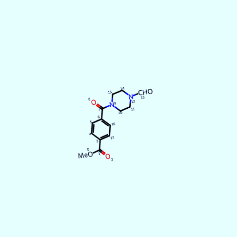 COC(=O)c1ccc(C(=O)N2CCN(C=O)CC2)cc1